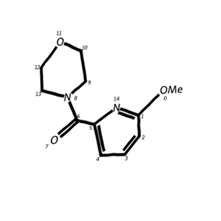 COc1cccc(C(=O)N2CCOCC2)n1